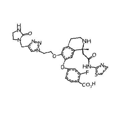 C[C@]1(CC(=O)Nc2nccs2)NCCc2cc(OCCn3cc(CN4CCNC4=O)nn3)c(Oc3ccc(C(=O)O)c(F)c3)cc21